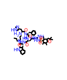 CCCN(CCC)C(=O)[C@@H](Cc1c[nH]c2ccccc12)NC(=O)[C@H](CCCNC(=N)NS(=O)(=O)c1c(C)c(C)c2c(c1C)CC(C)(C)O2)NC(=O)[C@@H](Cc1ccccc1)NC(=O)[C@@H](N)Cc1c[nH]cn1